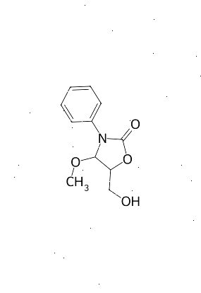 COC1C(CO)OC(=O)N1c1ccccc1